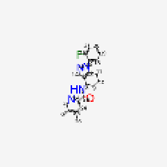 Cc1cnc(C(=O)NC2CCCc3c2cnn3-c2ccccc2F)cc1C